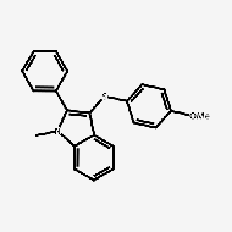 COc1ccc(Sc2c(-c3ccccc3)n(C)c3ccccc23)cc1